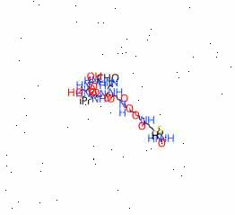 CC(C=O)NC(=O)[C@H](CO)NC(=O)C(NC(=O)[C@@H](NC(=O)CNC(=O)[C@H](Cc1cnc[nH]1)NC(=O)CCC(=O)NCCOCCOCCNC(=O)CCCC[C@@H]1SCC2NC(=O)N[C@@H]21)C(C)C)C(C)O